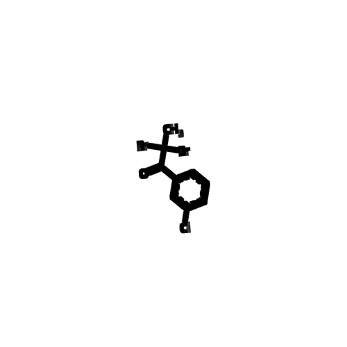 CC(Br)(Br)C(=O)c1cccc(Cl)c1